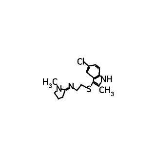 Cc1[nH]c2ccc(Cl)cc2c1SCCN=C1CCCN1C